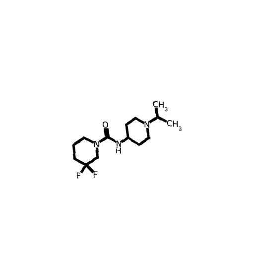 CC(C)N1CCC(NC(=O)N2CCCC(F)(F)C2)CC1